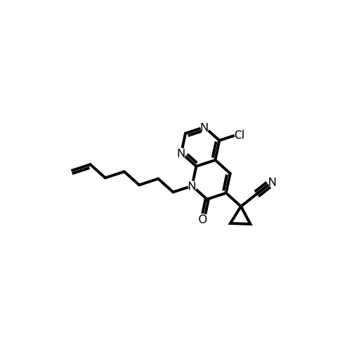 C=CCCCCCn1c(=O)c(C2(C#N)CC2)cc2c(Cl)ncnc21